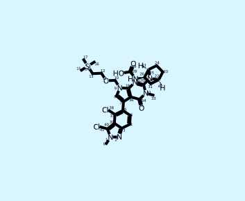 Cn1nc2ccc(-c3cn(COCC[Si](C)(C)C)c4nc(N5[C@H]6CC[C@@H]5[C@H](NC(=O)O)C6)n(C)c(=O)c34)c(Cl)c2c1Cl